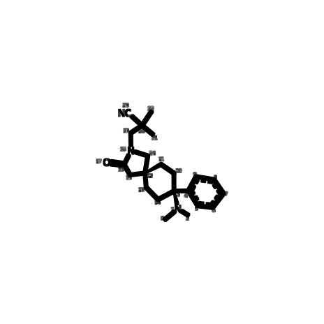 CN(C)[C@]1(c2ccccc2)CC[C@@]2(CC1)CC(=O)N(CC(C)(C)C#N)C2